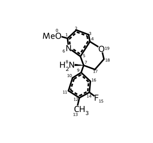 COc1ccc2c(n1)[C@@](N)(c1ccc(C)c(F)c1)CCO2